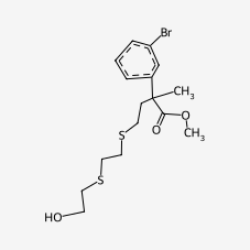 COC(=O)C(C)(CCSCCSCCO)c1cccc(Br)c1